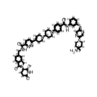 CC1(N)CCN(c2cnc(Sc3cccc(NC(=O)c4ccc(N5CCC(N6CC=C(c7ccc(C(=O)NCc8ccc9c(c8)CN(C8CCC(=O)NC8=O)C9=O)nn7)CC6)CC5)cc4)c3)cn2)CC1